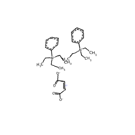 CC[N+](CC)(CC)c1ccccc1.CC[N+](CC)(CC)c1ccccc1.O=C([O-])/C=C\C(=O)[O-]